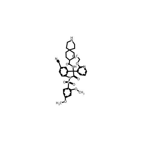 CCOc1ncccc1C1(NC(=O)C2CCC3(CCNCC3)CC2)C(=O)N(S(=O)(=O)c2ccc(OC)cc2OC)c2ccc(C#N)cc21